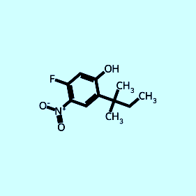 CCC(C)(C)c1cc([N+](=O)[O-])c(F)cc1O